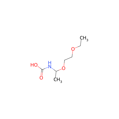 CCOCCOC(C)NC(=O)O